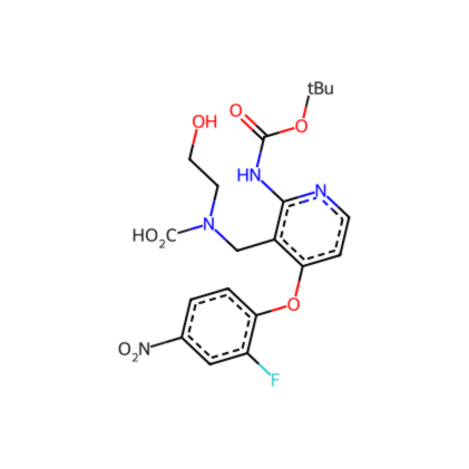 CC(C)(C)OC(=O)Nc1nccc(Oc2ccc([N+](=O)[O-])cc2F)c1CN(CCO)C(=O)O